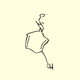 [O-][NH+]1C=CC(O)=C1